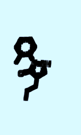 CCCc1c[nH]n(-c2ccccc2C)c1=O